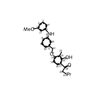 COc1cccc(Nc2cccc(COc3ccc(C(=O)CC(C)C)c(O)c3C)c2)c1